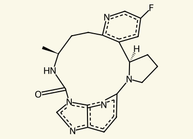 C[C@H]1CCc2ncc(F)cc2[C@H]2CCCN2c2ccc3ncn(c3n2)C(=O)N1